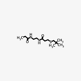 CCC(=O)NCCNC(=O)CCSCC(C)(C)C